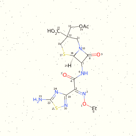 CCON=C(C(=O)NC1C(=O)N2CC(COC(C)=O)(C(=O)O)CS[C@H]12)c1nsc(N)n1